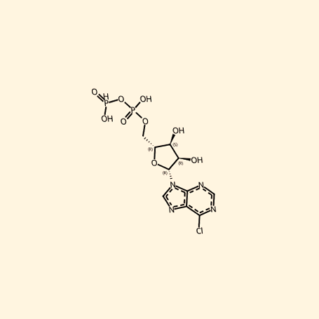 O=[PH](O)OP(=O)(O)OC[C@H]1O[C@@H](n2cnc3c(Cl)ncnc32)[C@H](O)[C@@H]1O